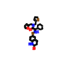 O=C([C@H](NSc1ccc2[nH]c(=O)ccc2c1)C1CCCCC1)N(Cc1ccco1)Cc1cccs1